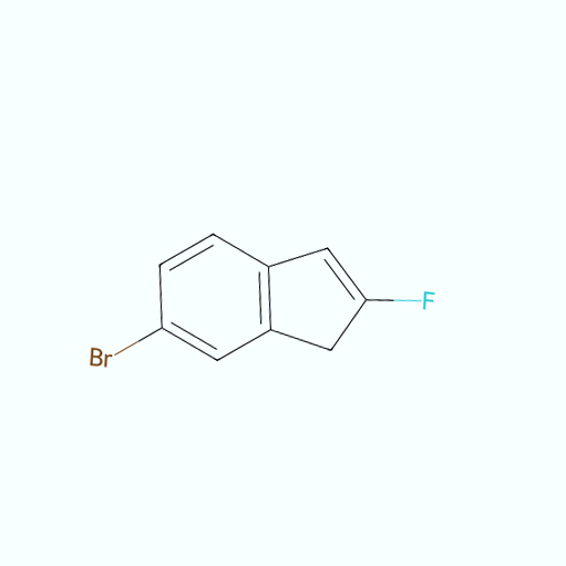 FC1=Cc2ccc(Br)cc2C1